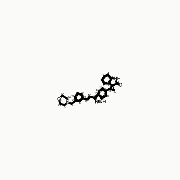 O=C1Nc2ccccc2[C@]12CC2c1ccc2c(/C=C/c3cccc(CN4CCOCC4)c3)n[nH]c2c1